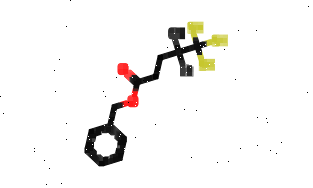 CCC(C#N)(CCC(=O)OCc1ccccc1)C(S)(S)S